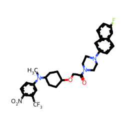 CN(c1ccc([N+](=O)[O-])c(C(F)(F)F)c1)C1CCC(OCC(=O)N2CCN(c3ccc4cc(F)ccc4c3)CC2)CC1